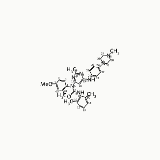 COc1ccc(N(C(=O)Nc2c(C)cccc2C)c2cc(Nc3ccc(N4CCN(C)CC4)cc3)nc(C)n2)c(C)c1